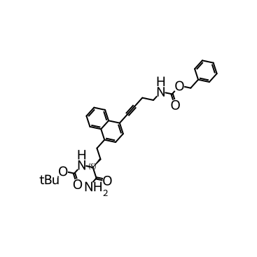 CC(C)(C)OC(=O)N[C@@H](CCc1ccc(C#CCCNC(=O)OCc2ccccc2)c2ccccc12)C(N)=O